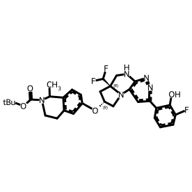 CC1c2ccc(O[C@H]3CN4c5cc(-c6cccc(F)c6O)nnc5NC[C@@]4(C(F)F)C3)cc2CCN1C(=O)OC(C)(C)C